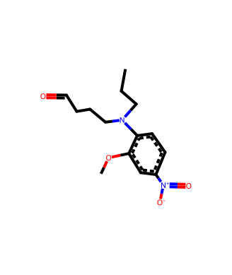 CCCN(CCCC=O)c1ccc([N+](=O)[O-])cc1OC